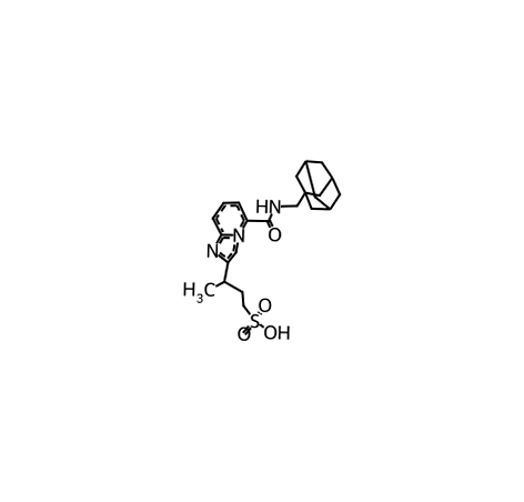 CC(CCS(=O)(=O)O)c1cn2c(C(=O)NCC34CC5CC(CC(C5)C3)C4)cccc2n1